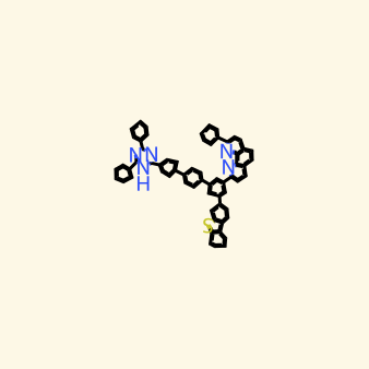 c1ccc(C2=NC(c3ccccc3)NC(c3ccc(-c4ccc(-c5cc(-c6ccc7c(c6)sc6ccccc67)cc(-c6ccc7ccc8ccc(-c9ccccc9)nc8c7n6)c5)cc4)cc3)=N2)cc1